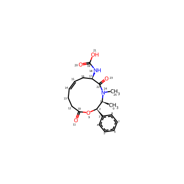 C[C@H]1[C@@H](c2ccccc2)OC(=O)CCC=CC[C@@H](NC(=O)O)C(=O)N1C